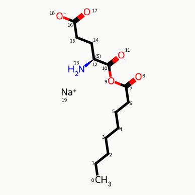 CCCCCCCC(=O)OC(=O)[C@@H](N)CCC(=O)[O-].[Na+]